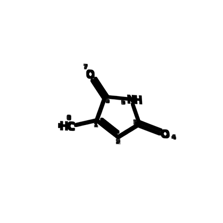 [CH]C1=CC(=O)NC1=O